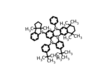 CC(C)(C)c1cccc(N2c3cc(C(C)(C)C)ccc3B3c4cc5c(cc4N(c4ccccc4)c4cc(N6c7ccccc7C7(C)CCCC67C)cc2c43)C(C)(C)CCC5(C)C)c1